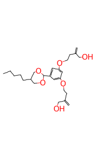 C=C(CO)CCOc1cc(OCCC(=C)CO)cc(C2OCC(CCCCC)CO2)c1